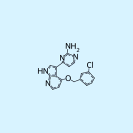 Nc1nccc(-c2c[nH]c3nccc(OCc4cccc(Cl)c4)c23)n1